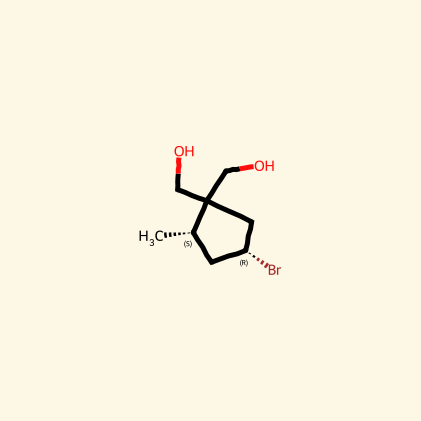 C[C@H]1C[C@@H](Br)CC1(CO)CO